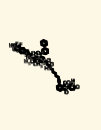 CC(C)(C)C(NC(=O)c1cc2cc(C(F)(F)P(=O)(O)O)ccc2s1)C(=O)N1CCN(C(=O)CC(=O)NCCCCCC#Cc2cccc3c2C(=O)N(C2CCC(=O)NC2=O)C3=O)C[C@H]1C(=O)N1CCC[C@H](c2ccccc2)C1